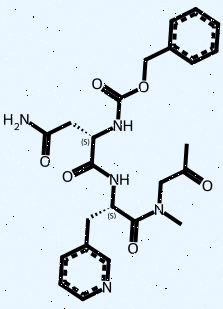 CC(=O)CN(C)C(=O)[C@H](Cc1cccnc1)NC(=O)[C@H](CC(N)=O)NC(=O)OCc1ccccc1